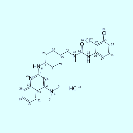 CN(C)c1nc(NC2CCC(CNC(=O)Nc3cccc(Cl)c3Cl)CC2)nc2ccccc12.Cl